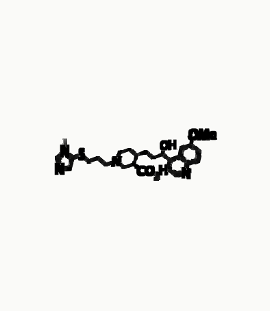 COc1ccc2nccc(C(O)CC[C@@H]3CCN(CCCSc4cncn4C)C[C@@H]3C(=O)O)c2c1